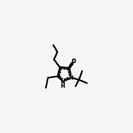 CCCc1c(CC)[nH]n(C(C)(C)C)c1=O